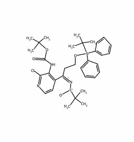 CC(C)(C)OC(=O)Nc1c(/C(CCO[Si](c2ccccc2)(c2ccccc2)C(C)(C)C)=N\[S+]([O-])C(C)(C)C)ccnc1Cl